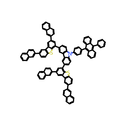 c1ccc(-c2c3ccccc3c(-c3ccc(-n4c5ccc(-c6cc(-c7ccc8ccccc8c7)cc7c6sc6ccc(-c8ccc9ccccc9c8)cc67)cc5c5cc(-c6cc(-c7ccc8ccccc8c7)cc7c6sc6ccc(-c8ccc9ccccc9c8)cc67)ccc54)cc3)c3ccccc23)cc1